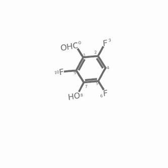 O=Cc1c(F)cc(F)c(O)c1F